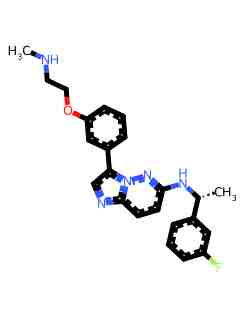 CNCCOc1cccc(-c2cnc3ccc(N[C@H](C)c4cccc(F)c4)nn23)c1